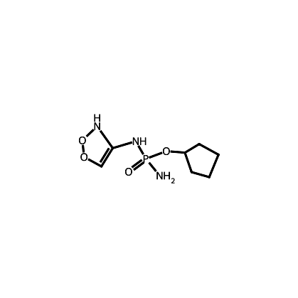 NP(=O)(NC1=COON1)OC1CCCC1